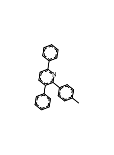 Cc1ccc(-c2nc(-c3ccccc3)ccc2-c2ccccc2)cc1